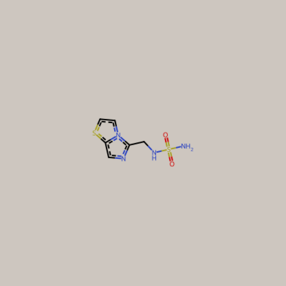 NS(=O)(=O)NCc1ncc2sccn12